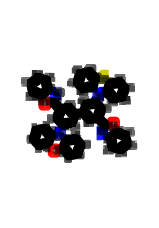 c1ccc2c(c1)Oc1ccccc1N2c1cc(-c2cc(-c3nc4ccccc4o3)cc(N3c4ccccc4Sc4ccccc43)c2)cc(-c2nc3ccccc3o2)c1